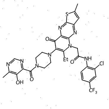 CCc1c(N2CCN(C(=O)c3ncnc(C)c3O)CC2)c(=O)c2nc3sc(C)cc3nc2n1CC(=O)Nc1ccc(C(F)(F)F)cc1Cl